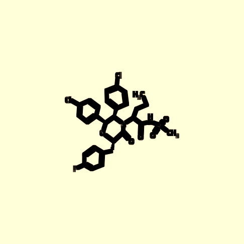 CCCC(C(=O)NS(C)(=O)=O)N1C(=O)[C@H](Cc2ccc(F)cc2)O[C@@H](c2ccc(Cl)cc2)[C@H]1c1ccc(Cl)cc1